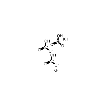 O=[N+]([O-])O.O=[N+]([O-])O.O=[N+]([O-])O.[KH].[KH]